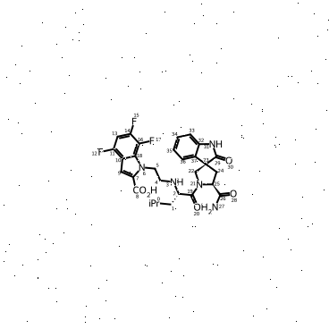 CC(C)C[C@H](NCCn1c(C(=O)O)cc2c(F)cc(F)c(F)c21)C(=O)N1C[C@]2(C[C@H]1C(N)=O)C(=O)Nc1ccccc12